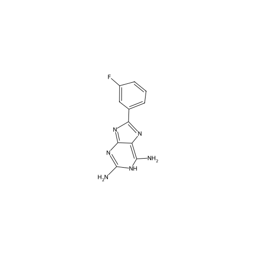 Nc1nc2nc(-c3cccc(F)c3)nc-2c(N)[nH]1